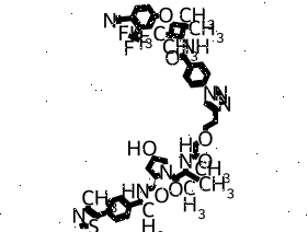 Cc1ncsc1-c1ccc([C@H](C)NC(=O)[C@@H]2C[C@@H](O)CN2C(=O)C(NC(=O)COCCc2cn(-c3ccc(C(=O)NC4C(C)(C)C(Oc5ccc(C#N)c(C(F)(F)F)c5)C4(C)C)cc3)nn2)C(C)(C)C)cc1